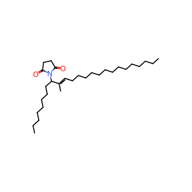 CCCCCCCCCCCCCCC=C(C)C(CCCCCCCC)N1C(=O)CCC1=O